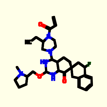 C=CC(=O)N1CCN(C2NC(OCC3CCCN3C)NC3C(=O)[C@@]4(CCC32)Cc2ccccc2C(F)C4)CC1CC#N